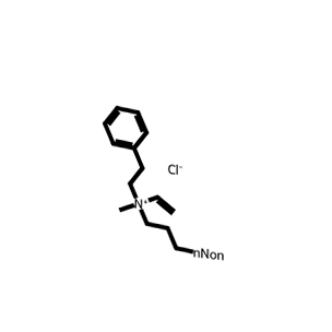 C=C[N+](C)(CCCCCCCCCCCC)CCc1ccccc1.[Cl-]